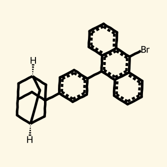 Brc1c2ccccc2c(-c2ccc(C34CC5C[C@H](C3)C[C@@H](C5)C4)cc2)c2ccccc12